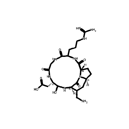 N=C(N)NCCCC1NC(=O)[C@@H]2CC[C@H]3CC(CN)[C@@H](NC(O)[C@H](CC(=O)O)NC(=O)CNC1=O)C(=O)N32